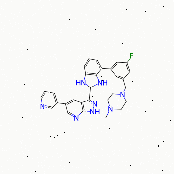 CN1CCN(Cc2cc(F)cc(-c3cccc4c3NC(c3n[nH]c5ncc(-c6cccnc6)cc35)N4)c2)CC1